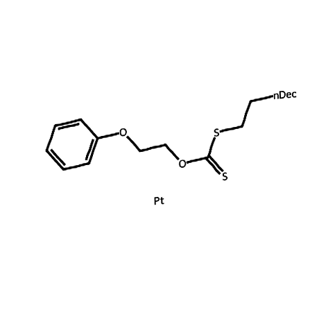 CCCCCCCCCCCCSC(=S)OCCOc1ccccc1.[Pt]